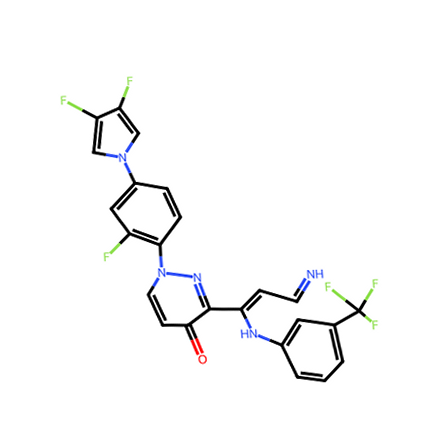 N=C/C=C(\Nc1cccc(C(F)(F)F)c1)c1nn(-c2ccc(-n3cc(F)c(F)c3)cc2F)ccc1=O